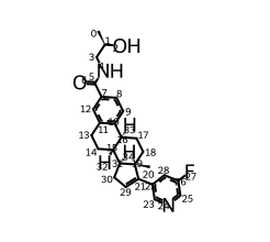 C[C@@H](O)CNC(=O)c1ccc2c(c1)CC[C@@H]1[C@@H]2CC[C@]2(C)C(c3cncc(F)c3)=CC[C@@H]12